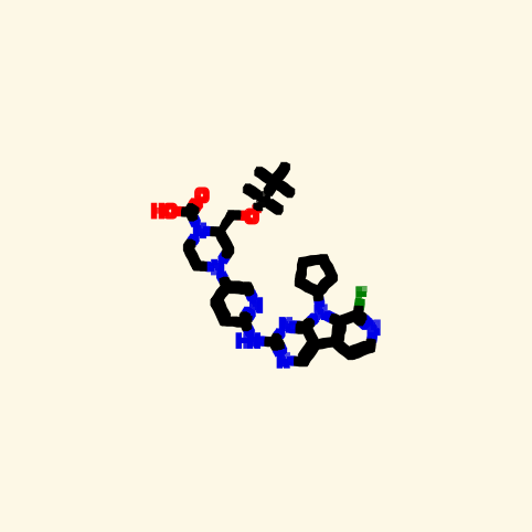 CC(C)(C)[Si](C)(C)OC[C@H]1CN(c2ccc(Nc3ncc4c5ccnc(F)c5n(C5CCCC5)c4n3)nc2)CCN1C(=O)O